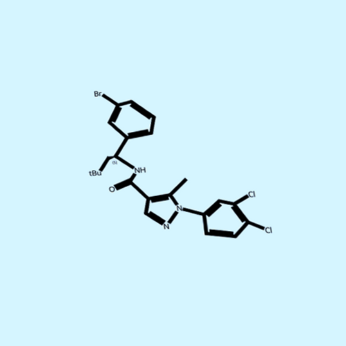 Cc1c(C(=O)N[C@@H](CC(C)(C)C)c2cccc(Br)c2)cnn1-c1ccc(Cl)c(Cl)c1